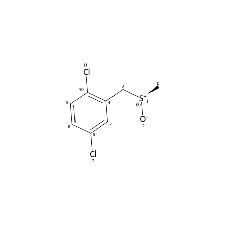 C[S@@+]([O-])Cc1cc(Cl)ccc1Cl